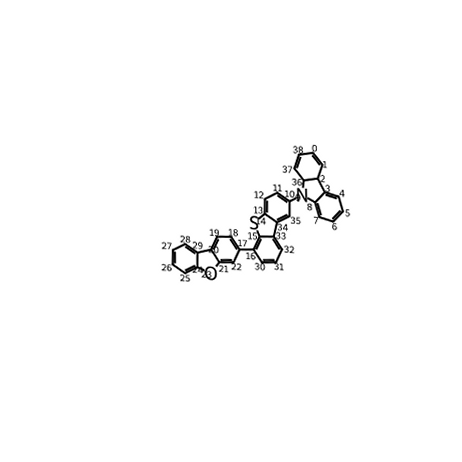 C1=CC2c3ccccc3N(c3ccc4sc5c(-c6ccc7c(c6)oc6ccccc67)cccc5c4c3)C2C=C1